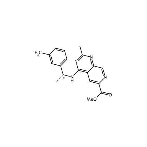 COC(=O)c1cc2c(N[C@H](C)c3cccc(C(F)(F)F)c3)nc(C)nc2cn1